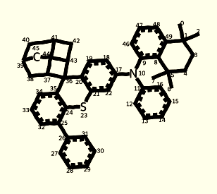 CC1(C)CCC(C)(C)c2c(N(c3ccccc3)c3ccc4c(c3)Sc3c(-c5ccccc5)cccc3C43C4CC5CC6CC3C64C5)cccc21